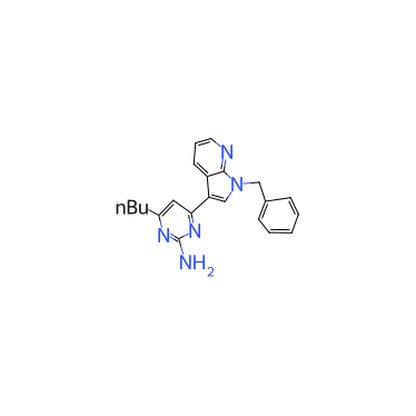 CCCCc1cc(-c2cn(Cc3ccccc3)c3ncccc23)nc(N)n1